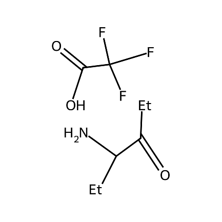 CCC(=O)C(N)CC.O=C(O)C(F)(F)F